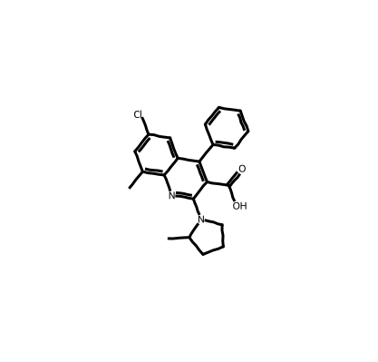 Cc1cc(Cl)cc2c(-c3ccccc3)c(C(=O)O)c(N3CCCC3C)nc12